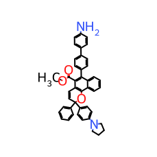 COC(=O)c1c2c(c3ccccc3c1-c1ccc(-c3ccc(N)cc3)cc1)OC(c1ccccc1)(c1ccc(N3CCCC3)cc1)C=C2